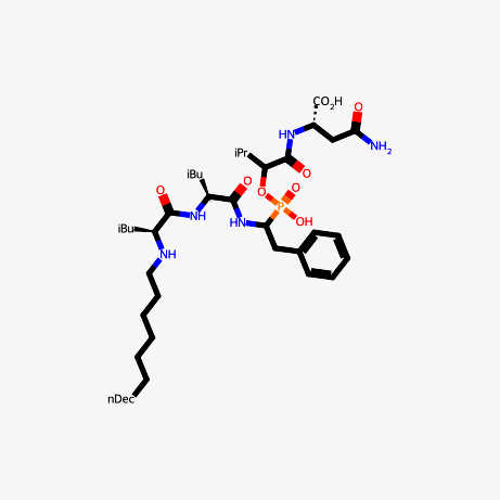 CCCCCCCCCCCCCCCCN[C@H](C(=O)N[C@H](C(=O)NC(Cc1ccccc1)P(=O)(O)OC(C(=O)N[C@@H](CC(N)=O)C(=O)O)C(C)C)C(C)CC)C(C)CC